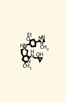 CCOc1cc(-c2nncn2C)ccc1NN1C=Cc2cc(C)nc(NCC3(O)CC3)c2C1